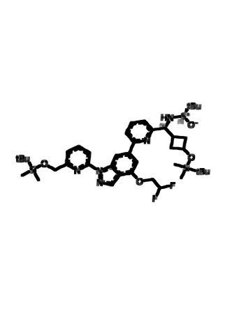 CC(C)(C)[S@@+]([O-])N[C@H](c1cccc(-c2cc(OCC(F)F)c3cnn(-c4cccc(CO[Si](C)(C)C(C)(C)C)n4)c3c2)n1)C1CC(O[Si](C)(C)C(C)(C)C)C1